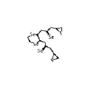 [Se]=C(CC1CS1)CC1[Se]CC[Se]C1CC(=[Se])CC1CS1